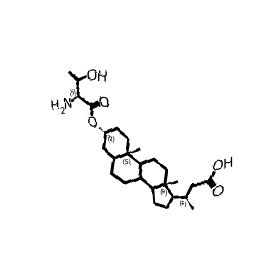 CC(O)[C@H](N)C(=O)O[C@@H]1CC[C@@]2(C)C(CCC3C2CC[C@@]2(C)C3CCC2[C@H](C)CC(=O)O)C1